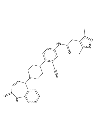 Cc1noc(C)c1CC(=O)Nc1ccc(C2CCN(C3C=CC(=O)Nc4ccccc43)CC2)c(C#N)c1